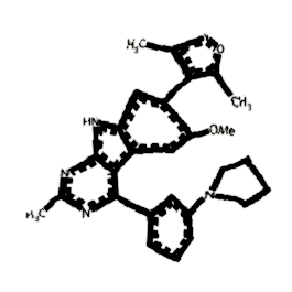 COc1cc2c(cc1-c1c(C)noc1C)[nH]c1nc(C)nc(-c3cccc(N4CCCC4)c3)c12